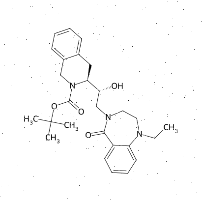 CCN1CCN(C[C@@H](O)[C@@H]2Cc3ccccc3CN2C(=O)OC(C)(C)C)C(=O)c2ccccc21